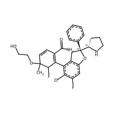 CC1(OCCO)C=CC(C(N)=O)=C(c2c(Cl)c(F)cc3c2C[C@](c2ccccc2)([C@@H]2CCCN2)O3)C1F